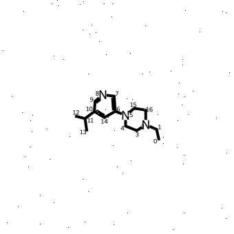 CCN1CCN(c2cncc(C(C)C)c2)CC1